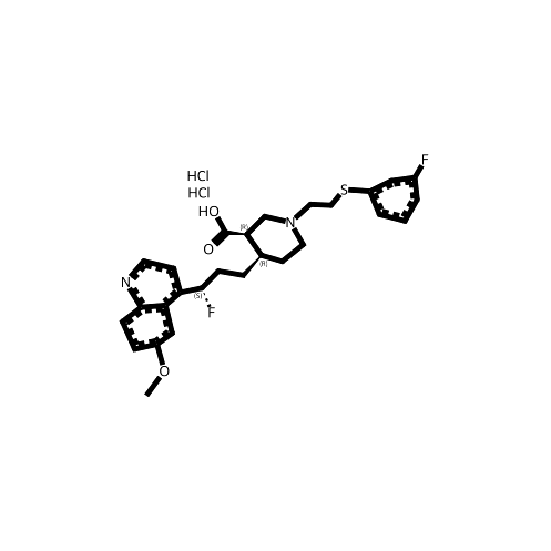 COc1ccc2nccc([C@@H](F)CC[C@@H]3CCN(CCSc4cccc(F)c4)C[C@@H]3C(=O)O)c2c1.Cl.Cl